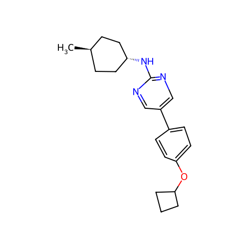 C[C@H]1CC[C@H](Nc2ncc(-c3ccc(OC4CCC4)cc3)cn2)CC1